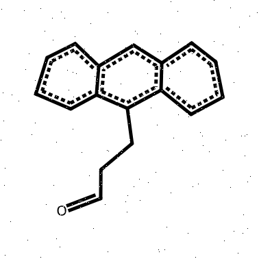 O=CCCc1c2ccccc2cc2ccccc12